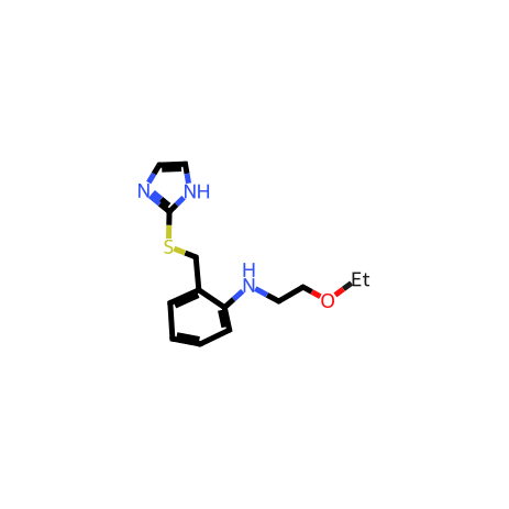 CCOCCNc1ccccc1CSc1ncc[nH]1